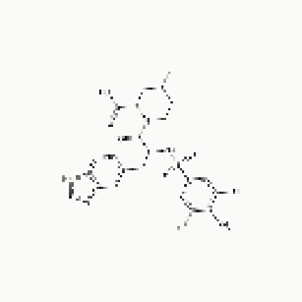 CC1CCN(C(=O)C(Cc2ccc3[nH]cnc3c2)NS(=O)(=O)c2cc(Cl)c(N)c(Cl)c2)C(C(=O)O)C1